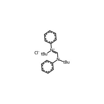 CC(C)(C)N(C=[N+](c1ccccc1)C(C)(C)C)c1ccccc1.[Cl-]